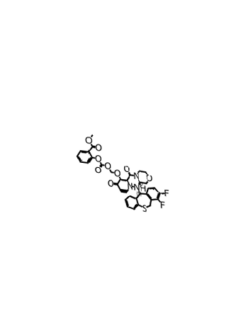 COC(=O)c1ccccc1OC(=O)OCOc1c2n(c#cc1=O)N([C@@H]1c3ccccc3SCc3c1ccc(F)c3F)[C@@H]1COCCN1C2=O